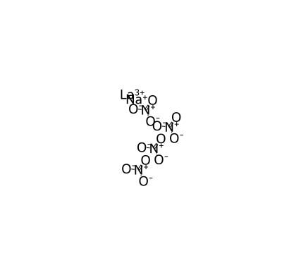 O=[N+]([O-])[O-].O=[N+]([O-])[O-].O=[N+]([O-])[O-].O=[N+]([O-])[O-].[La+3].[Na+]